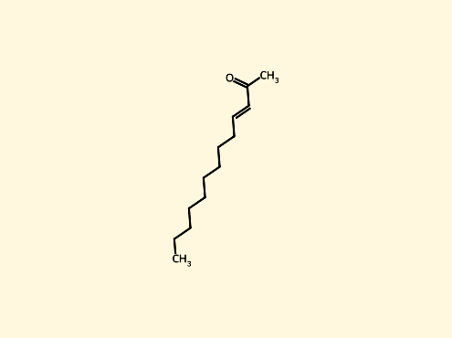 CCCCCCCCCC=CC(C)=O